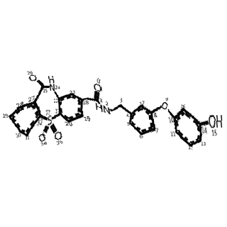 O=C(NCc1cccc(Oc2cccc(O)c2)c1)c1ccc2c(c1)NC(=O)c1ccccc1S2(=O)=O